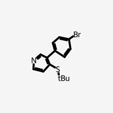 CC(C)(C)Sc1ccncc1-c1ccc(Br)cc1